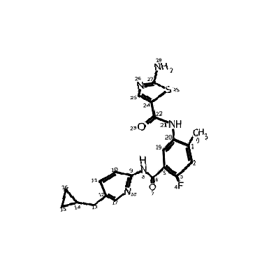 Cc1cc(F)c(C(=O)Nc2ccc(CC3CC3)cn2)cc1NC(=O)c1cnc(N)s1